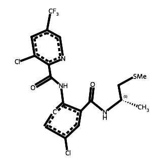 CSC[C@H](C)NC(=O)c1cc(Cl)ccc1NC(=O)c1ncc(C(F)(F)F)cc1Cl